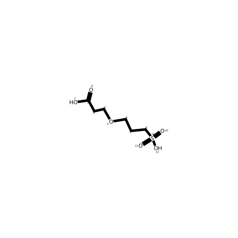 O=C(O)CCOCCCS(=O)(=O)O